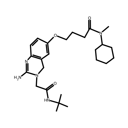 CN(C(=O)CCCOc1ccc2c(c1)CN(CC(=O)NC(C)(C)C)C(N)=N2)C1CCCCC1